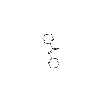 O=C([N+]c1ccccc1)c1ccccc1